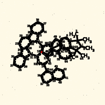 CC1C(C)(C)c2ccc(-c3cccc(-n4c5ccccc5c5ccc6c7ccccc7n(-c7nc(-c8cccc9ccccc89)nc(-c8cccc9ccccc89)n7)c6c54)c3)cc2C1(C)C